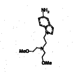 COCCN(CCOC)CCn1ccc2cc(N)ccc21